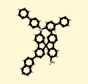 CC(C)(C)c1ccc2c(c1)C1(c3ccc(-c4ccc5ccccc5c4)cc3-c3ccc(N(c4ccc(-c5ccccc5)cc4)c4ccc(-c5ccccc5)cc4)cc31)c1cc(C(C)(C)C)ccc1-2